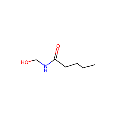 CCCCC(=O)NCO